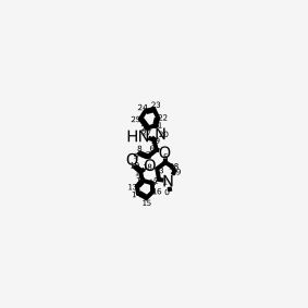 CN1CCC(OC(C2=COC=C(C3=CC=CCC3)O2)c2nc3ccccc3[nH]2)CC1